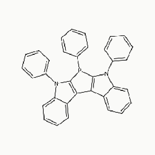 c1ccc(-n2c3ccccc3c3c4c5ccccc5n(-c5ccccc5)c4p(-c4ccccc4)c32)cc1